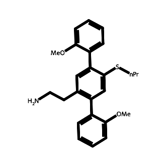 CCCSc1cc(-c2ccccc2OC)c(CCN)cc1-c1ccccc1OC